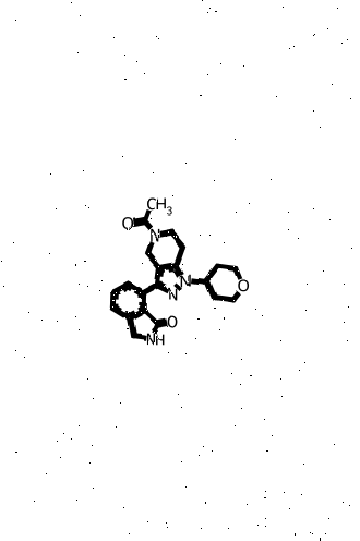 CC(=O)N1CCc2c(c(-c3cccc4c3C(=O)NC4)nn2C2CCOCC2)C1